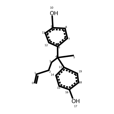 C=CCCC(C)(c1ccc(O)cc1)c1ccc(O)cc1